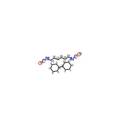 C1CCC(C2CCCCC2)CC1.O=C=NCCCCCCN=C=O